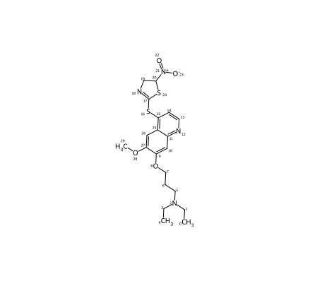 CCN(CC)CCCOc1cc2nccc(SC3=NCC([N+](=O)[O-])S3)c2cc1OC